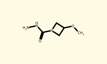 COC1CN(C(=O)NN)C1